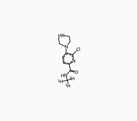 [2H]C([2H])([2H])NC(=O)c1ccc(N2CCNCC2)c(Cl)n1